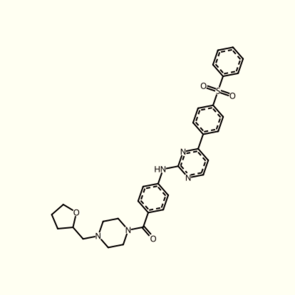 O=C(c1ccc(Nc2nccc(-c3ccc(S(=O)(=O)c4ccccc4)cc3)n2)cc1)N1CCN(CC2CCCO2)CC1